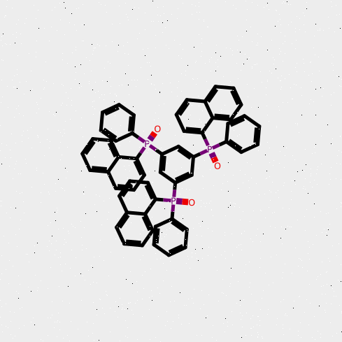 O=P(c1ccccc1)(c1cc(P(=O)(c2ccccc2)c2cccc3ccccc23)cc(P(=O)(c2ccccc2)c2cccc3ccccc23)c1)c1cccc2ccccc12